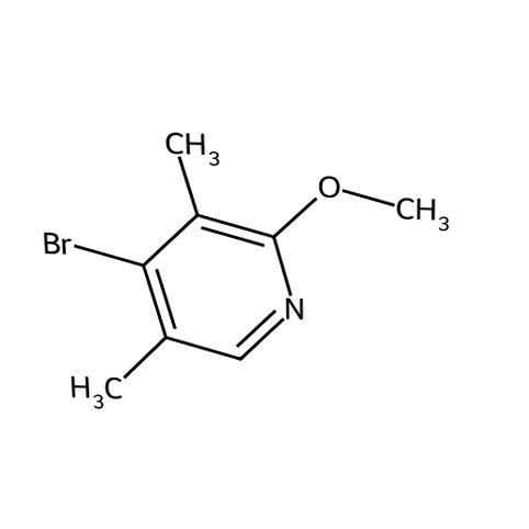 COc1ncc(C)c(Br)c1C